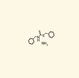 N.S=C(NCc1ccccc1)SCc1ccccc1